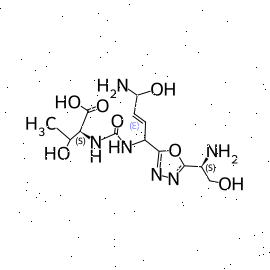 CC(O)[C@H](NC(=O)NC(/C=C/C(N)O)c1nnc([C@@H](N)CO)o1)C(=O)O